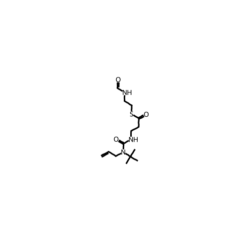 C=CCN(C(=O)NCCC(=O)SCCNC=O)C(C)(C)C